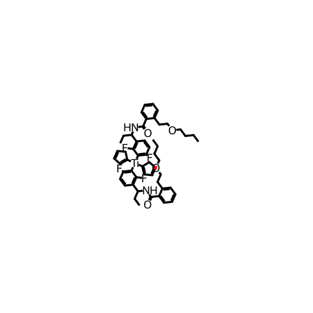 CCCCOCCc1ccccc1C(=O)NC(CC)c1ccc(F)[c]([Ti]([C]2=CC=CC2)([C]2=CC=CC2)[c]2c(F)ccc(C(CC)NC(=O)c3ccccc3CCOCCCC)c2F)c1F